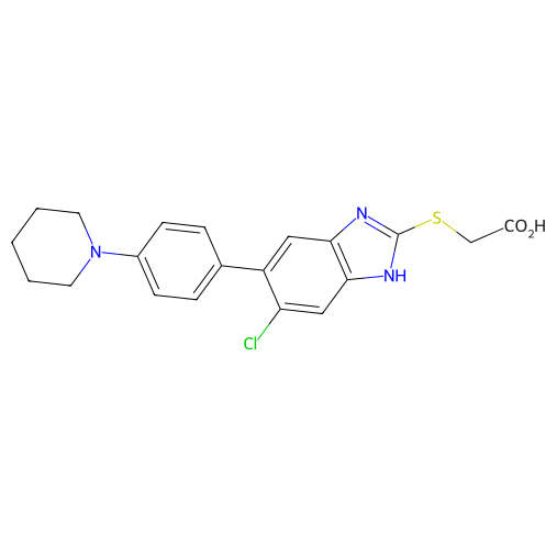 O=C(O)CSc1nc2cc(-c3ccc(N4CCCCC4)cc3)c(Cl)cc2[nH]1